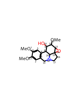 COc1cc2c(cc1OC)C1C(O)C(OC)C3OC34CCN(C2)C14